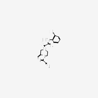 N#Cc1ncc2n1CCN(C(=O)c1nc3cccc(Cl)c3[nH]1)C2